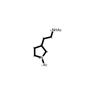 CC(=O)NCCC1CCN(C(C)=O)C1